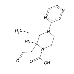 CCNC1(CC=O)CN(c2cnccn2)CCN1C(=O)O